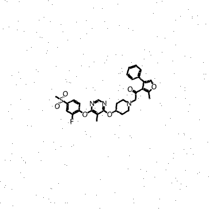 Cc1occ(-c2ccccc2)c1C(=O)CN1CCC(Oc2ncnc(Oc3ccc(S(C)(=O)=O)cc3F)c2C)CC1